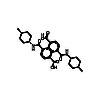 CC1CCC(NC(=O)c2ccc(C(=O)O)c3c(C(=O)N[C@H]4CC[C@H](C)CC4)ccc(C(=O)O)c23)CC1